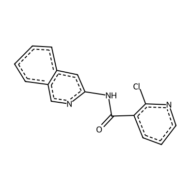 O=C(Nc1cc2ccccc2cn1)c1cccnc1Cl